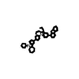 C/C=C\c1c(/C=C\C)n(-c2ccc(-c3ccc4c(c3)c3c(n4C4=CC=CCC4)C=CC=CC3)cc2)c2ccc(-c3cccc4c3Cc3ccccc3-4)cc12